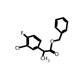 CC(C(=O)OCc1ccccc1)c1ccc(F)c(Cl)c1